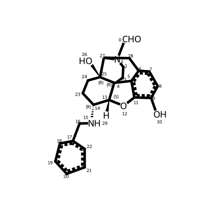 O=CN1CC[C@@]23c4c5ccc(O)c4O[C@@H]2[C@H](NCc2ccccc2)CC[C@]3(O)C1C5